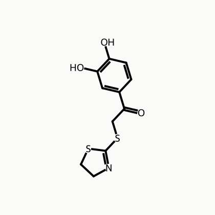 O=C(CSC1=NCCS1)c1ccc(O)c(O)c1